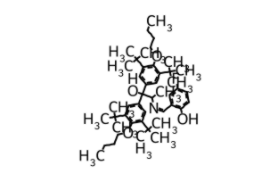 CCCCOc1c(C(C)(C)C)cc(C(O)(c2cc(C(C)(C)C)c(OCCCC)c(C(C)(C)C)c2)C(C)N=Cc2cc(F)ccc2O)cc1C(C)(C)C